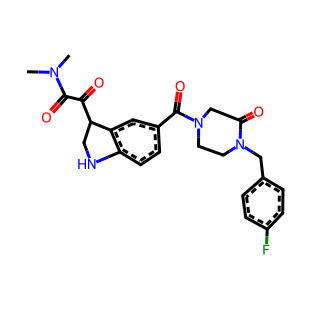 CN(C)C(=O)C(=O)C1CNc2ccc(C(=O)N3CCN(Cc4ccc(F)cc4)C(=O)C3)cc21